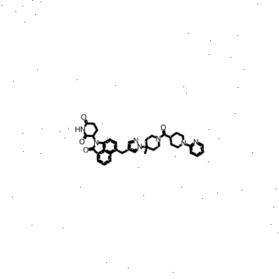 CC1(n2cc(Cc3ccc4c5c(cccc35)C(=O)N4C3CCC(=O)NC3=O)cn2)CCN(C(=O)C2CCN(c3ccccn3)CC2)CC1